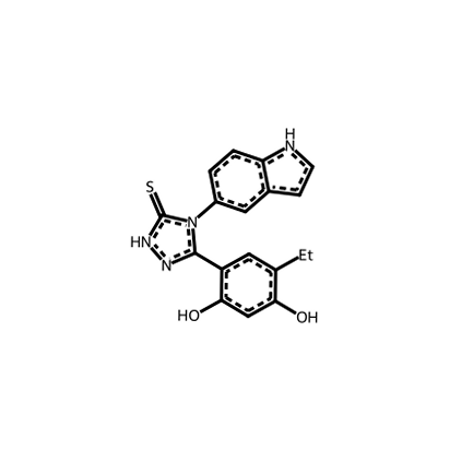 CCc1cc(-c2n[nH]c(=S)n2-c2ccc3[nH]ccc3c2)c(O)cc1O